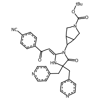 CC(C)(C)OC(=O)N1CC2C(C1)C2N1C(=O)C(Cc2ccncc2)(Cc2ccncc2)NC1=CC(=O)c1ccc(C#N)cc1